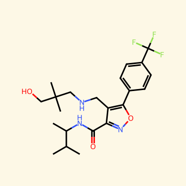 CC(C)C(C)NC(=O)c1noc(-c2ccc(C(F)(F)F)cc2)c1CNCC(C)(C)CO